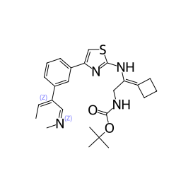 C/C=C(\C=N/C)c1cccc(-c2csc(NC(CNC(=O)OC(C)(C)C)=C3CCC3)n2)c1